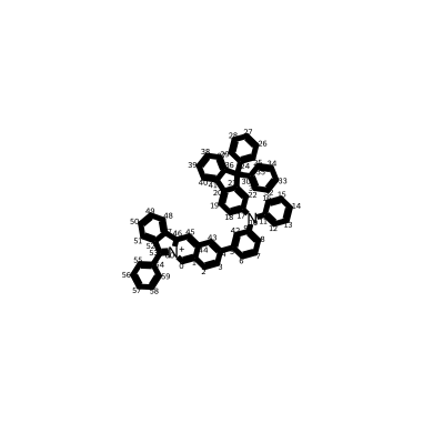 C1=c2ccc(-c3cccc(N(c4ccccc4)c4ccc5c(c4)C(c4ccccc4)(c4ccccc4)c4ccccc4-5)c3)cc2=CC2c3ccccc3C(c3ccccc3)=[N+]12